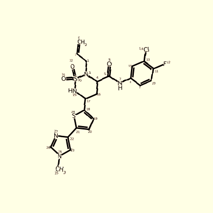 C=CCN1C(C(=O)Nc2ccc(F)c(Cl)c2)CC(c2ccc(-c3cn(C)cn3)s2)NS1(=O)=O